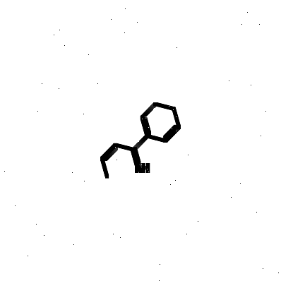 C/C=C\C(=N)C1=CCCC=C1